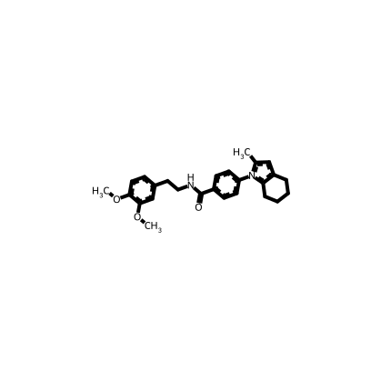 COc1ccc(CCNC(=O)c2ccc(-n3c(C)cc4c3CCCC4)cc2)cc1OC